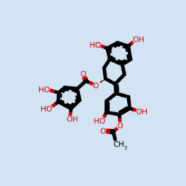 CC(=O)OC1=C(O)C/C(=C2\Cc3cc(O)cc(O)c3C[C@H]2OC(=O)c2cc(O)c(O)c(O)c2)C=C1O